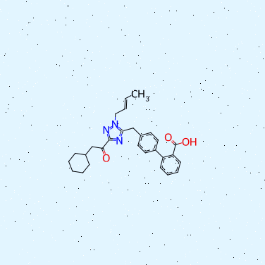 C/C=C/Cn1nc(C(=O)CC2CCCCC2)nc1Cc1ccc(-c2ccccc2C(=O)O)cc1